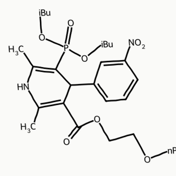 CCCOCCOC(=O)C1=C(C)NC(C)=C(P(=O)(OC(C)CC)OC(C)CC)C1c1cccc([N+](=O)[O-])c1